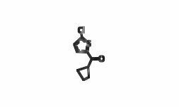 O=C(c1ccc(Cl)s1)C1CCC1